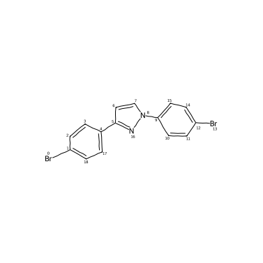 Brc1ccc(-c2ccn(-c3ccc(Br)cc3)n2)cc1